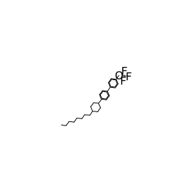 CCCCCCCCC1CCC(c2ccc(-c3ccc(OC(F)(F)F)cc3)cc2)CC1